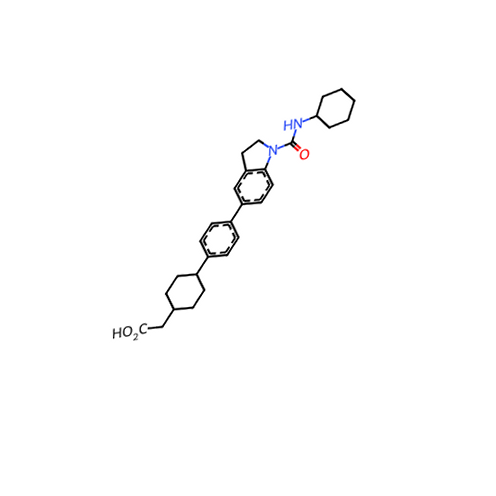 O=C(O)CC1CCC(c2ccc(-c3ccc4c(c3)CCN4C(=O)NC3CCCCC3)cc2)CC1